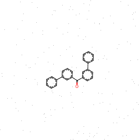 O=C(c1cccc(-c2ccccc2)c1)c1cccc(-c2ccccc2)c1